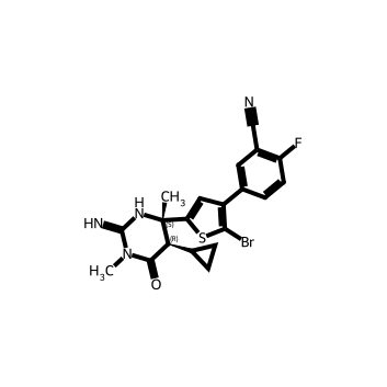 CN1C(=N)N[C@](C)(c2cc(-c3ccc(F)c(C#N)c3)c(Br)s2)[C@@H](C2CC2)C1=O